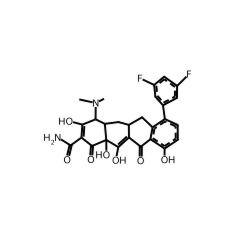 CN(C)C1C(O)=C(C(N)=O)C(=O)C2(O)C(O)=C3C(=O)c4c(O)ccc(-c5cc(F)cc(F)c5)c4CC3CC12